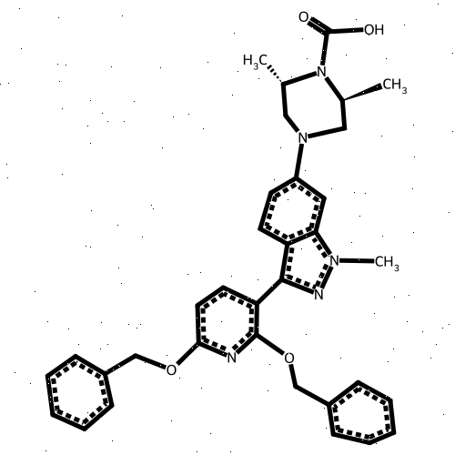 C[C@H]1CN(c2ccc3c(-c4ccc(OCc5ccccc5)nc4OCc4ccccc4)nn(C)c3c2)C[C@H](C)N1C(=O)O